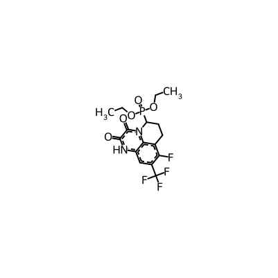 CCOP(=O)(OCC)C1CCc2c(F)c(C(F)(F)F)cc3[nH]c(=O)c(=O)n1c23